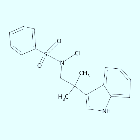 CC(C)(CN(Cl)S(=O)(=O)c1ccccc1)c1c[nH]c2ccccc12